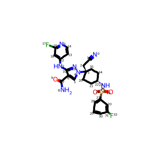 N#CC[C@]1(n2cc(C(N)=O)c(Nc3ccnc(F)c3)n2)CC[C@@H](NS(=O)(=O)c2cccc(F)c2)CC1